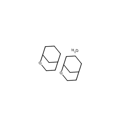 C1CC2CCOC(C1)C2.C1CC2CCOC(C1)C2.O